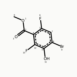 COC(=O)c1c(F)cc(Br)c(O)c1F